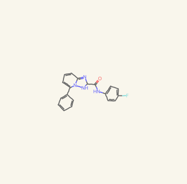 O=C(Nc1ccc(F)cc1)C1N=C2C=CC=C(c3ccccc3)N2N1